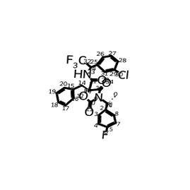 C[C@H](c1ccc(F)cc1)N1C(=O)O[C@](Cc2ccccc2)(C(=O)NC(c2cccc(Cl)c2)C(F)(F)F)C1=O